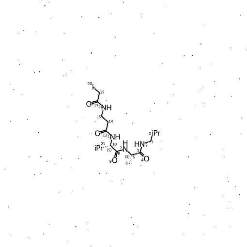 CC(C)CNC(=O)[C@H](C)NC(=O)[C@@H](NC(=O)CCNC(=O)CI)C(C)C